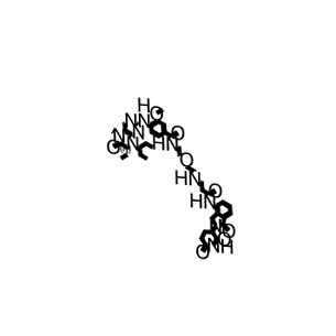 CCC(CC)N1c2nc(Nc3ccc(C(=O)NCCOCCNCCC(=O)Nc4cccc5c4CN(C4CCC(=O)NC4=O)C5=O)cc3OC)ncc2N(C)C(=O)[C@H]1CC